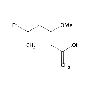 C=C(O)CC(CC(=C)CC)OC